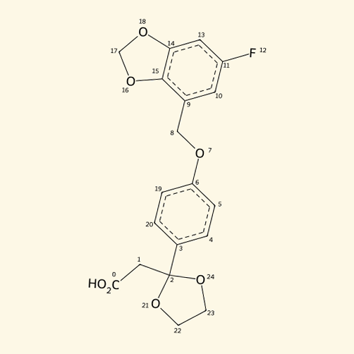 O=C(O)CC1(c2ccc(OCc3cc(F)cc4c3OCO4)cc2)OCCO1